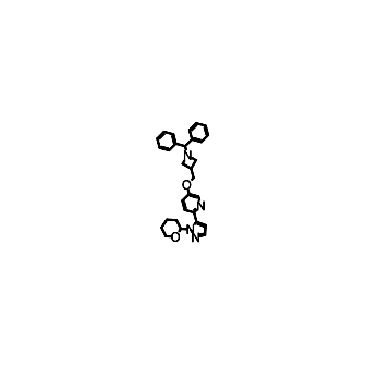 c1ccc(C(c2ccccc2)N2CC(COc3ccc(-c4ccnn4C4CCCCO4)nc3)C2)cc1